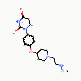 O=CNCCN1CCC(Oc2ccc(N3CCC(=O)NC3=O)cc2)CC1